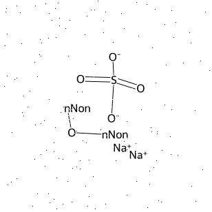 CCCCCCCCCOCCCCCCCCC.O=S(=O)([O-])[O-].[Na+].[Na+]